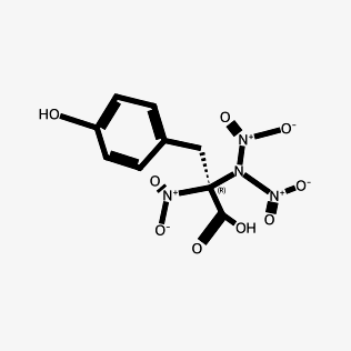 O=C(O)[C@](Cc1ccc(O)cc1)(N([N+](=O)[O-])[N+](=O)[O-])[N+](=O)[O-]